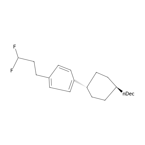 CCCCCCCCCC[C@H]1CC[C@H](c2ccc(CCC(F)F)cc2)CC1